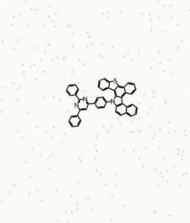 c1ccc(-c2cc(-c3ccc(-n4c5ccc6ccccc6c5c5c6ccccc6c6sc7ccccc7c6c54)cc3)nc(-c3ccccc3)n2)cc1